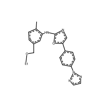 CCOCc1ccc(C)c(Nc2ncc(-c3ccc(-n4nccn4)cc3)o2)c1